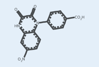 O=C(O)c1ccc(-n2c(=O)c(=O)[nH]c3cc([N+](=O)[O-])ccc32)cc1